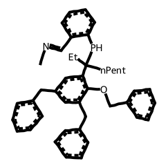 CCCCCC(CC)(Pc1ccccc1/C=N/C)c1cc(Cc2ccccc2)cc(Cc2ccccc2)c1OCc1ccccc1